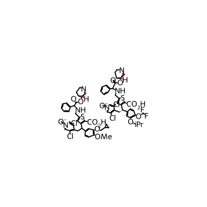 CC(C)Oc1cc([C@H](Cc2c(Cl)c[n+]([O-])cc2Cl)c2cc(CNC(C(=O)O[C@H]3CN4CCC3CC4)c3ccccc3)sc2C(=O)O)ccc1OC(F)F.COc1ccc(C(Cc2c(Cl)c[n+]([O-])cc2Cl)c2cc(CNC(C(=O)O[C@H]3CN4CCC3CC4)c3ccccc3)sc2C(=O)O)cc1OCC1CC1